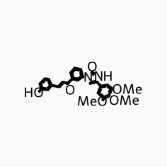 COc1cc(-c2cn(-c3cccc(C(=O)C=Cc4cccc(O)c4)c3)c(=O)[nH]2)cc(OC)c1OC